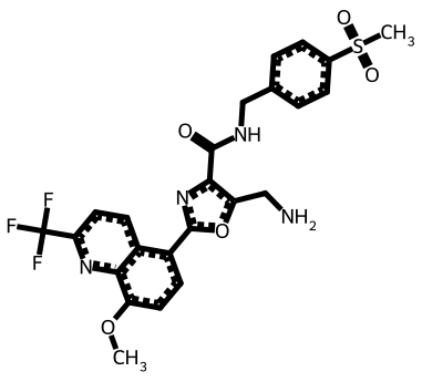 COc1ccc(-c2nc(C(=O)NCc3ccc(S(C)(=O)=O)cc3)c(CN)o2)c2ccc(C(F)(F)F)nc12